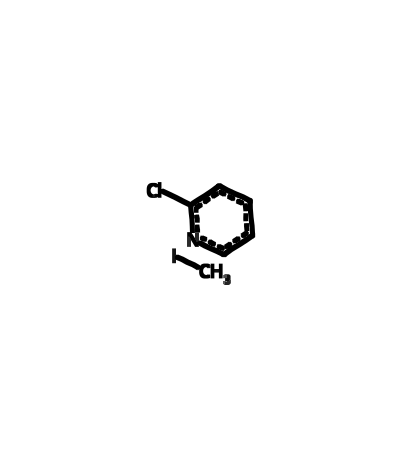 CI.Clc1ccccn1